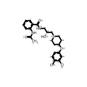 CC(=O)Nc1ccccc1C(=O)NC[C@@H](O)CN1CCC(Oc2ccc(Cl)c(Cl)c2)CC1